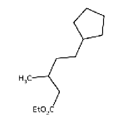 CCOC(=O)CC(C)CCC1CCCC1